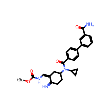 CC(C)(C)OC(=O)N/C=C1/CC(N(C(=O)c2ccc(-c3cccc(C(N)=O)c3)cc2)C2CC2)CCC1=N